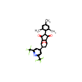 Cc1cc(C)c(C2C(=O)C3C4CC(c5cc(C(F)(F)F)nc(C(F)(F)F)c5)C(O4)C3C2=O)c(C)c1